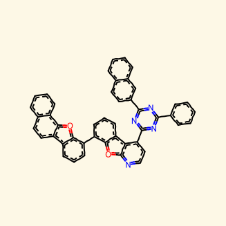 c1ccc(-c2nc(-c3ccc4ccccc4c3)nc(-c3ccnc4oc5c(-c6cccc7c6oc6c8ccccc8ccc76)cccc5c34)n2)cc1